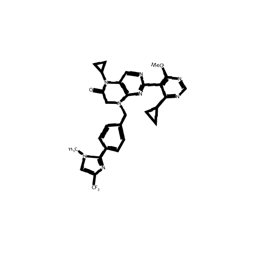 COc1ncnc(C2CC2)c1-c1ncc2c(n1)N(Cc1ccc(-c3nc(C(F)(F)F)cn3C)cc1)CC(=O)N2C1CC1